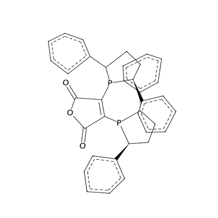 O=C1OC(=O)C(P2[C@H](c3ccccc3)CC[C@H]2c2ccccc2)=C1P1C(c2ccccc2)CC[C@H]1c1ccccc1